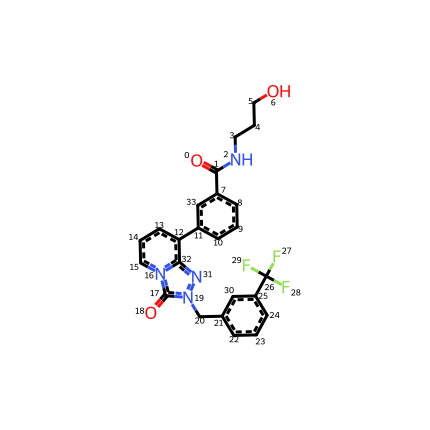 O=C(NCCCO)c1cccc(-c2cccn3c(=O)n(Cc4cccc(C(F)(F)F)c4)nc23)c1